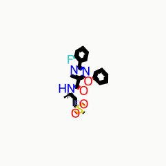 C[C@H](/C=C/S(C)(=O)=O)NC(=O)c1cnc(-c2ccccc2F)nc1Oc1ccccc1